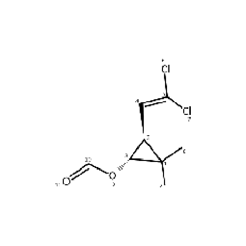 CC1(C)[C@H](C=C(Cl)Cl)[C@H]1OC=O